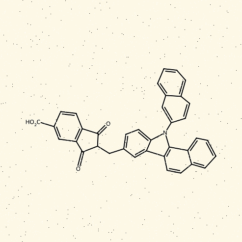 O=C(O)c1ccc2c(c1)C(=O)C(Cc1ccc3c(c1)c1ccc4ccccc4c1n3-c1ccc3ccccc3c1)C2=O